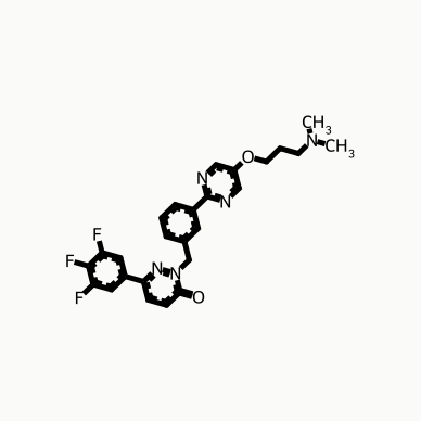 CN(C)CCCOc1cnc(-c2cccc(Cn3nc(-c4cc(F)c(F)c(F)c4)ccc3=O)c2)nc1